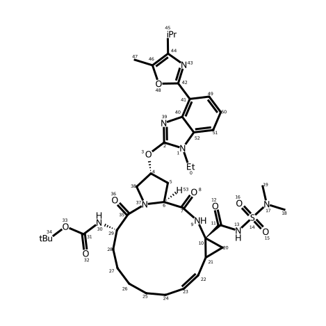 CCn1c(O[C@@H]2C[C@H]3C(=O)N[C@]4(C(=O)NS(=O)(=O)N(C)C)CC4/C=C\CCCCC[C@H](NC(=O)OC(C)(C)C)C(=O)N3C2)nc2c(-c3nc(C(C)C)c(C)o3)cccc21